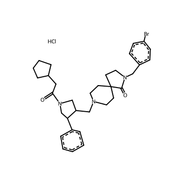 Cl.O=C(CC1CCCC1)N1CC(CN2CCC3(CC2)CCN(Cc2ccc(Br)cc2)C3=O)C(c2ccccc2)C1